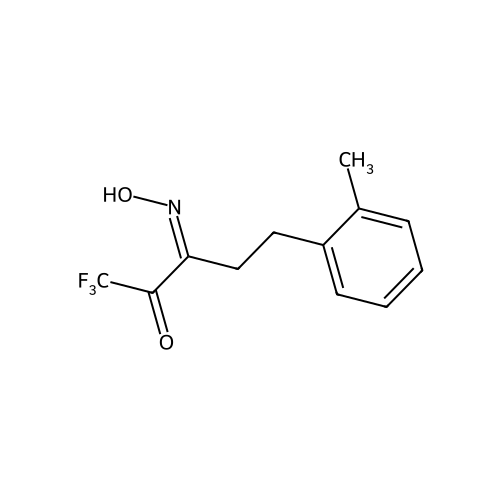 Cc1ccccc1CCC(=NO)C(=O)C(F)(F)F